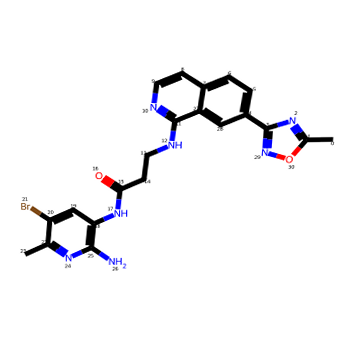 Cc1nc(-c2ccc3ccnc(NCCC(=O)Nc4cc(Br)c(C)nc4N)c3c2)no1